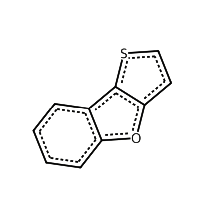 c1ccc2c(c1)oc1ccsc12